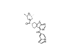 C[C@@H]1CN(C(=O)[C@H]2CCc3c(sc4ncnc(Nc5ccn6nccc6c5)c34)C2)C[C@@H](C)O1